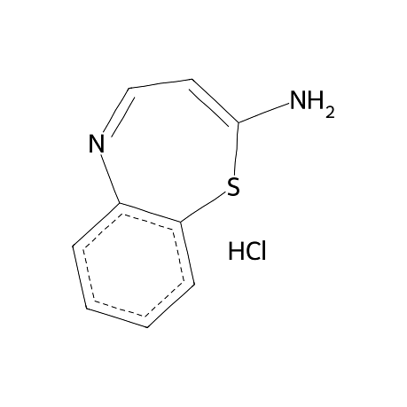 Cl.NC1=CC=Nc2ccccc2S1